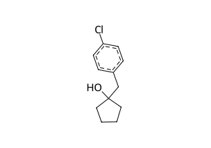 OC1(Cc2ccc(Cl)cc2)CCCC1